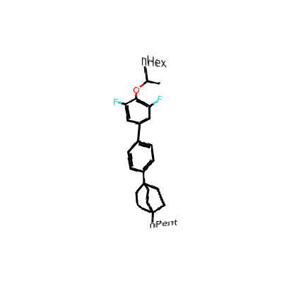 CCCCCCC(C)OC1=C(F)CC(c2ccc(C34CCC(CCCCC)(CC3)CC4)cc2)C=C1F